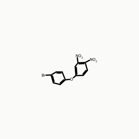 O=[N+]([O-])c1ccc(Oc2ccc(Br)cc2)cc1[N+](=O)[O-]